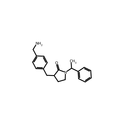 CC(c1ccccc1)N1CCC(Cc2ccc(CN)cc2)C1=O